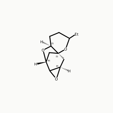 CCC1CC[C@@H]2O[C@@H]3C[C@]2(C[C@H]2OC23)O1